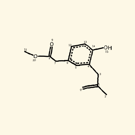 C=C(C)Cc1cc(CC(=O)OC)ccc1O